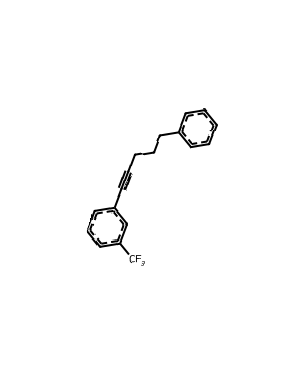 FC(F)(F)c1cccc(C#CCCCc2ccccc2)c1